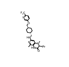 Cc1nc(NC[C@H]2CC[C@H](COc3ccc(C(F)(F)F)nc3)CC2)cc2c1NC(=O)C(C(C)C)N2C